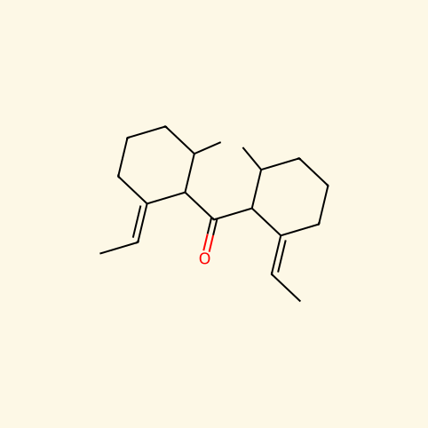 CC=C1CCCC(C)C1C(=O)C1C(=CC)CCCC1C